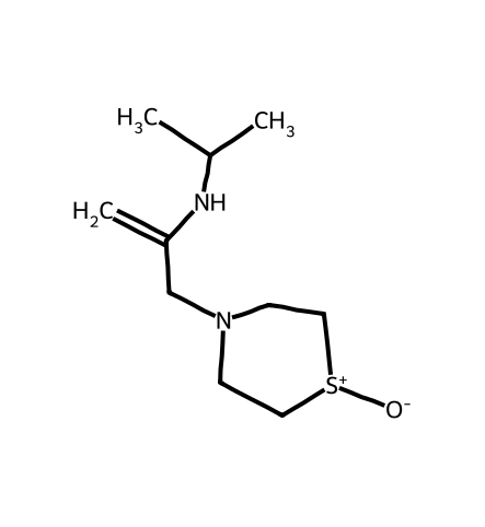 C=C(CN1CC[S+]([O-])CC1)NC(C)C